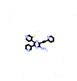 Nc1nc(-c2cccnc2)c(-c2ccncc2F)nc1C#Cc1ccccn1